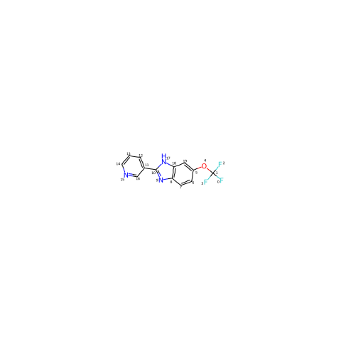 FC(F)(F)Oc1ccc2nc(-c3cccnc3)[nH]c2c1